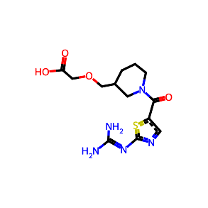 NC(N)=Nc1ncc(C(=O)N2CCCC(COCC(=O)O)C2)s1